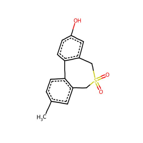 Cc1ccc2c(c1)CS(=O)(=O)Cc1cc(O)ccc1-2